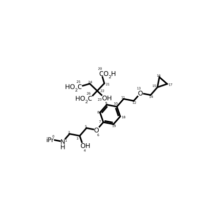 CC(C)NCC(O)COc1ccc(CCOCC2CC2)cc1.O=C(O)CC(O)(CC(=O)O)C(=O)O